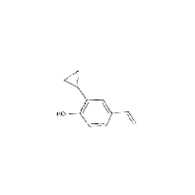 C=Cc1ccc(O)c(C2CC2)c1